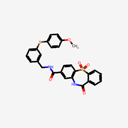 COc1ccc(Sc2cccc(CNC(=O)c3ccc4c(c3)NC(=O)c3ccccc3S4(=O)=O)c2)cc1